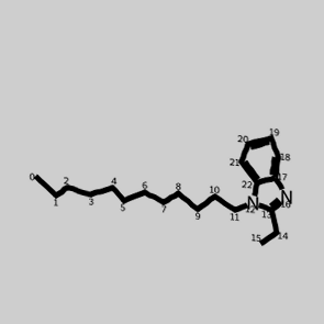 CCCCCCCCCCCCn1c(CC)nc2ccccc21